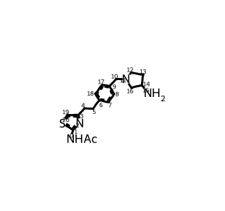 CC(=O)Nc1nc(CCc2ccc(CN3CCC(N)C3)cc2)cs1